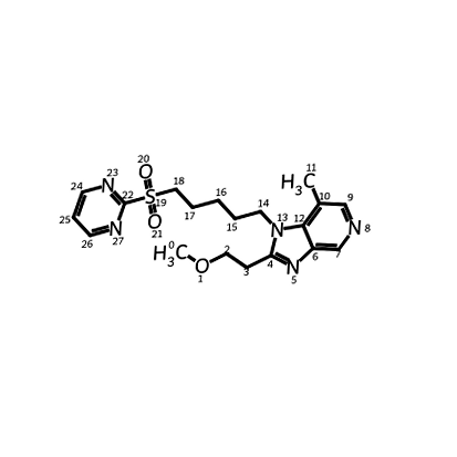 COCCc1nc2cncc(C)c2n1CCCCCS(=O)(=O)c1ncccn1